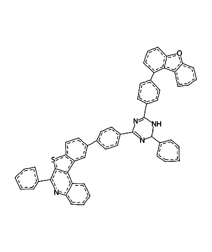 c1ccc(-c2nc3ccccc3c3c2sc2ccc(-c4ccc(C5=NC(c6ccccc6)NC(c6ccc(-c7cccc8oc9ccccc9c78)cc6)=N5)cc4)cc23)cc1